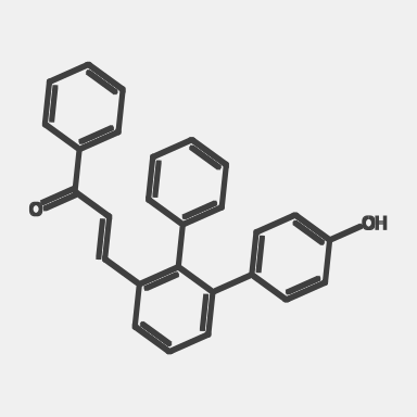 O=C(C=Cc1cccc(-c2ccc(O)cc2)c1-c1ccccc1)c1ccccc1